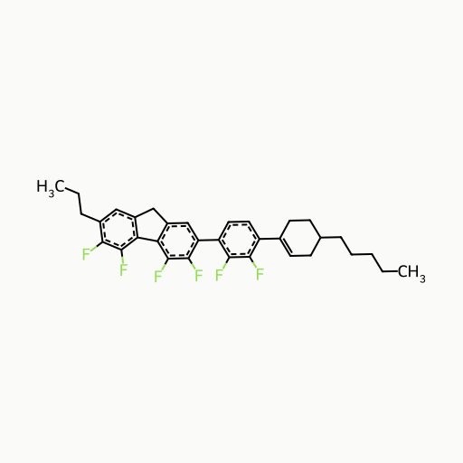 CCCCCC1CC=C(c2ccc(-c3cc4c(c(F)c3F)-c3c(cc(CCC)c(F)c3F)C4)c(F)c2F)CC1